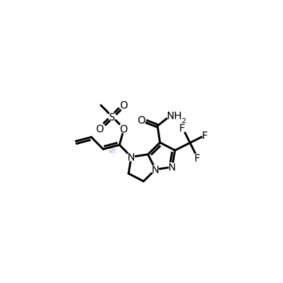 C=C/C=C(\OS(C)(=O)=O)N1CCn2nc(C(F)(F)F)c(C(N)=O)c21